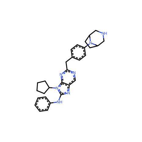 c1ccc(Nc2nc3cnc(Cc4ccc(N5C6CCC5CNC6)cc4)nc3n2C2CCCC2)cc1